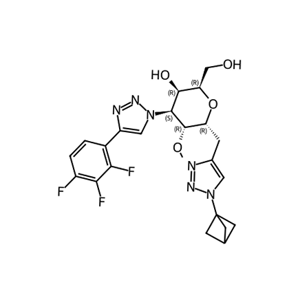 CO[C@@H]1[C@@H](n2cc(-c3ccc(F)c(F)c3F)nn2)[C@@H](O)[C@@H](CO)O[C@@H]1Cc1cn(C23CC(C2)C3)nn1